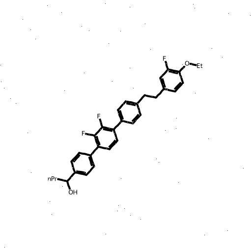 CCCC(O)c1ccc(-c2ccc(-c3ccc(CCc4ccc(OCC)c(F)c4)cc3)c(F)c2F)cc1